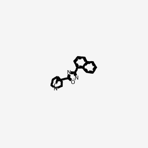 c1ccc2c(-c3noc(C4CN5CCC4CC5)n3)cccc2c1